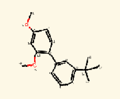 COc1ccc(-c2cccc(C(C)(C)C)c2)c(OC)c1